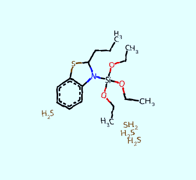 CCCC1Sc2ccccc2N1[Si](OCC)(OCC)OCC.S.S.S.S